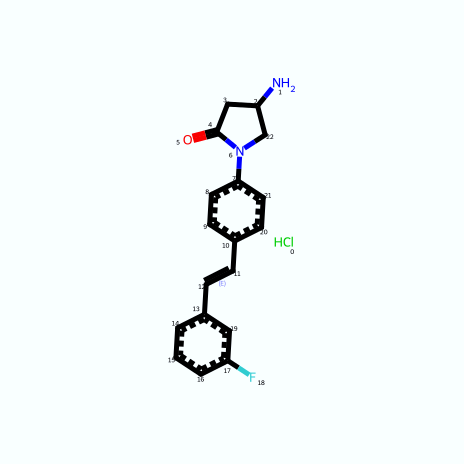 Cl.NC1CC(=O)N(c2ccc(/C=C/c3cccc(F)c3)cc2)C1